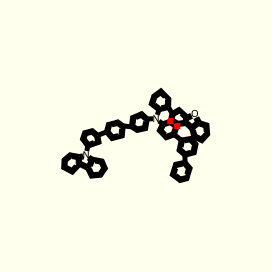 c1ccc(-c2cccc(-c3ccc(N(c4ccc(-c5ccc(-c6cccc(-n7c8ccccc8c8ccccc87)c6)cc5)cc4)c4ccccc4-c4ccc5c(c4)oc4ccccc45)cc3)c2)cc1